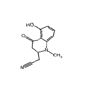 CN1c2cccc(O)c2C(=O)CC1CC#N